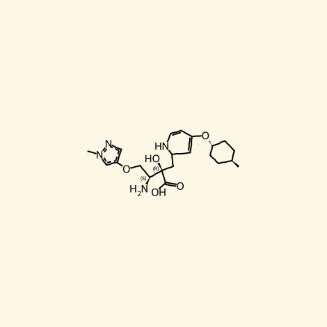 Cn1cc(OC[C@H](N)[C@](O)(CC2C=C(O[C@H]3CC[C@H](C)CC3)C=CN2)C(=O)O)cn1